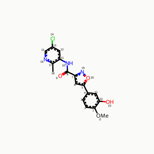 COc1ccc(-c2cc(C(=O)Nc3cc(Cl)cnc3C)no2)cc1O